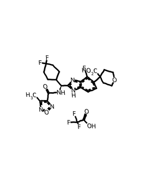 Cc1nonc1C(=O)N[C@H](c1nc2c(F)c(C3(C(=O)O)CCOCC3)ccc2[nH]1)C1CCC(F)(F)CC1.O=C(O)C(F)(F)F